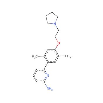 Cc1cc(-c2cccc(N)n2)c(C)cc1OCCN1CCCC1